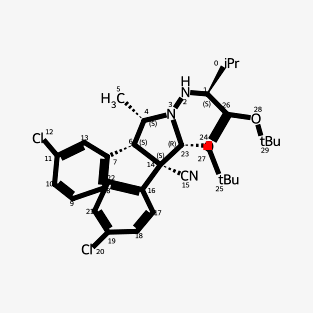 CC(C)[C@H](NN1[C@@H](C)[C@@H](c2cccc(Cl)c2)[C@](C#N)(c2ccc(Cl)cc2)[C@H]1CC(C)(C)C)C(=O)OC(C)(C)C